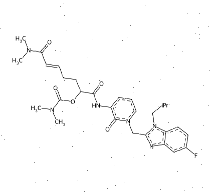 CC(C)Cn1c(Cn2cccc(NC(=O)C(CC/C=C/C(=O)N(C)C)OC(=O)N(C)C)c2=O)nc2cc(F)ccc21